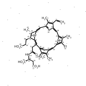 C=CC1=C(C)c2cc3[nH]c(c(CC(=O)N[C@@H](CC(=O)O)C(=O)O)c4nc(cc5[nH]c(cc1n2)c(C)c5CC)C(C)=C4C(=O)O)[C@@H](CCC(=O)O)[C@@H]3C